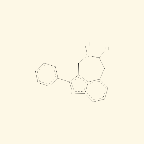 CN1Cc2c(-c3ccccc3)oc3cccc(c23)CC1Cl